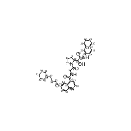 O=C(NCC(=O)N1CCCC1C(O)C(=O)Nc1ccc2ccccc2c1)c1ccnc2ccc(OCCCN3CCCCC3)cc12